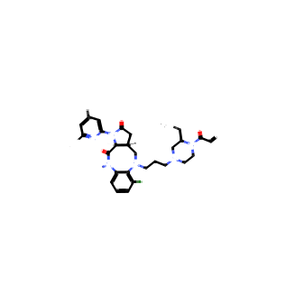 C=CC(=O)N1CCN(CCCN2C[C@H]3CC(=O)N(c4cc(C(F)(F)F)cc(C)n4)[C@@H]3C(=O)N(C)c3cccc(Cl)c32)CC1CC#N